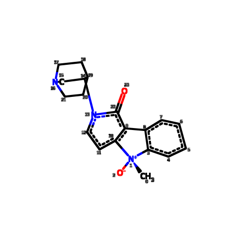 C[N@+]1([O-])c2ccccc2-c2c1ccn(C1CN3CCC1CC3)c2=O